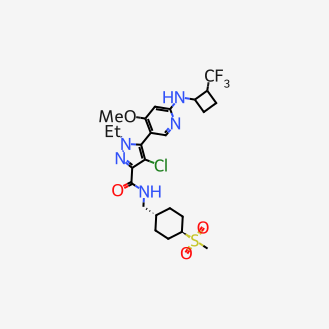 CCn1nc(C(=O)NC[C@H]2CC[C@H](S(C)(=O)=O)CC2)c(Cl)c1-c1cnc(NC2CCC2C(F)(F)F)cc1OC